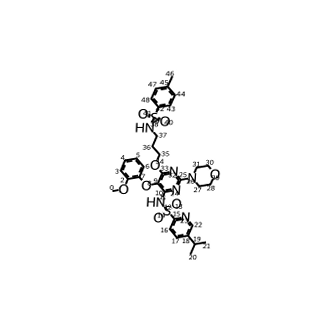 COc1ccccc1Oc1c(NS(=O)(=O)c2ccc(C(C)C)cn2)nc(N2CCOCC2)nc1OCCCNS(=O)(=O)c1ccc(C)cc1